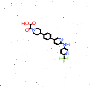 O=C(O)C(=O)N1CCC(c2ccc(-c3ccc(Nc4ccc(C(F)(F)F)nc4)nc3)cc2)CC1